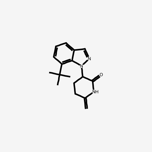 C=C1CCC(n2ncc3cccc(C(C)(C)C)c32)C(=O)N1